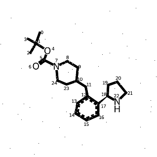 CC(C)(C)OC(=O)N1CCC(Cc2ccccc2[C@H]2CCCN2)CC1